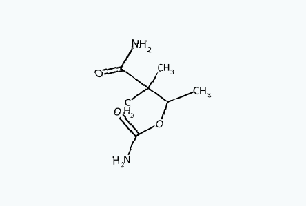 CC(OC(N)=O)C(C)(C)C(N)=O